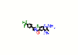 Cn1ncc2c(N)nc3cc(F)c(C(=O)N4CC(c5ccc(C(F)(F)F)cc5)C4)cc3c21